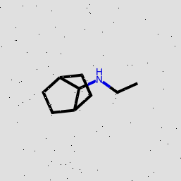 CCNC1C2CCC1CC2